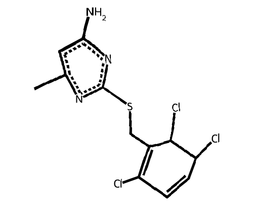 Cc1cc(N)nc(SCC2=C(Cl)C=CC(Cl)C2Cl)n1